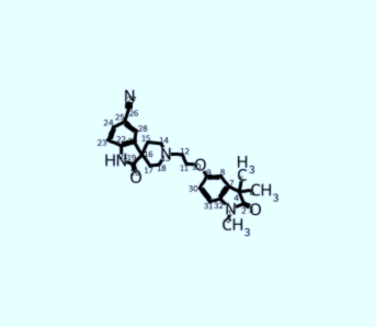 CN1C(=O)C(C)(C)c2cc(OCCN3CCC4(CC3)C(=O)Nc3ccc(C#N)cc34)ccc21